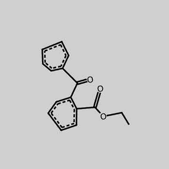 CCOC(=O)c1ccccc1C(=O)c1ccccc1